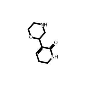 O=C1NCCC=C1C1CNCCO1